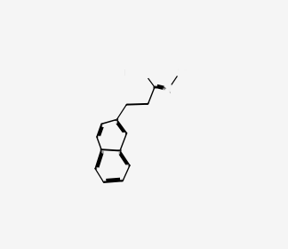 O=C(O)/C(CCc1ccc2ccccc2c1)=N\O